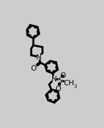 CS(=O)(=O)N(Cc1ccccc1)c1cccc(C(=O)N2CCC(c3ccccc3)CC2)c1